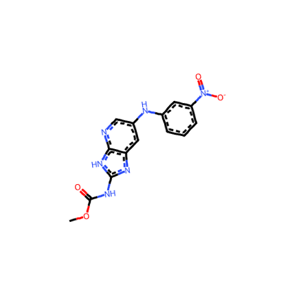 COC(=O)Nc1nc2cc(Nc3cccc([N+](=O)[O-])c3)cnc2[nH]1